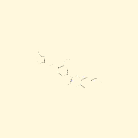 C=C(F)/C(=C\C=C\Br)N/C(=C/C)c1ccc(OCc2csc(C)n2)c(OC)c1